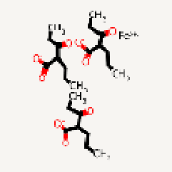 CCCC(C(=O)[O-])C(=O)CC.CCCC(C(=O)[O-])C(=O)CC.CCCC(C(=O)[O-])C(=O)CC.[Fe+3]